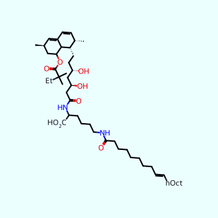 CCCCCCCCC=CCCCCCCCC(=O)NCCCCC(NC(=O)C[C@H](O)C[C@@H](O)CC[C@@H]1C2C(=C[C@H](C)CC2OC(=O)C(C)(C)CC)C=C[C@@H]1C)C(=O)O